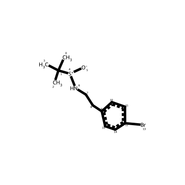 CC(C)(C)[S+]([O-])NCCc1ccc(Br)cc1